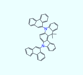 CC1(C)c2ccccc2N(c2cc3ccccc3c3ccccc23)c2ccc3c(c21)c1ccccc1n3-c1cc2ccccc2c2ccccc12